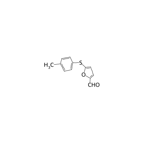 Cc1ccc(Sc2ccc(C=O)o2)cc1